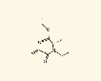 C=CC(=O)N(CC)[C@@H](C)C(=O)OCC